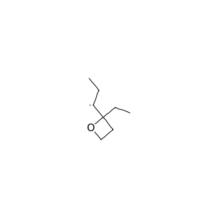 CC[CH]C1(CC)CCO1